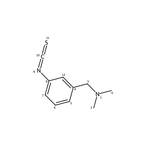 CN(C)Cc1cccc(N=C=S)c1